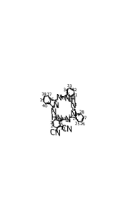 N#Cc1ccc2c3nc4nc(nc5[nH]c(nc6nc(nc([nH]3)c2c1C#N)-c1ccccc1-6)c1ccccc51)-c1ccccc1-4